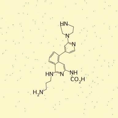 NCCCNc1nc(NC(=O)O)cc2c(-c3ccnc(N4CCNCC4)c3)cccc12